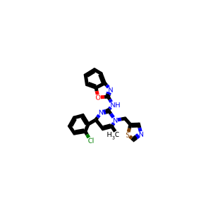 CC1=CC(c2ccccc2Cl)N=C(Nc2nc3ccccc3o2)N1Cc1cncs1